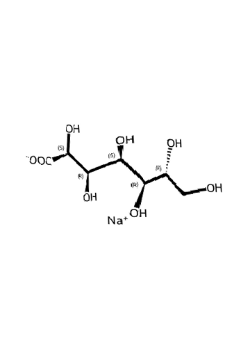 O=C([O-])[C@@H](O)[C@H](O)[C@@H](O)[C@H](O)[C@H](O)CO.[Na+]